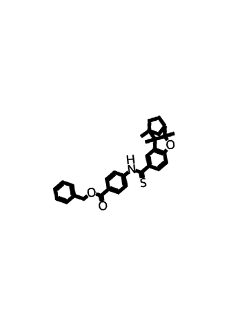 CC12CCC(C1)C1(C)Oc3ccc(C(=S)Nc4ccc(C(=O)OCc5ccccc5)cc4)cc3C21C